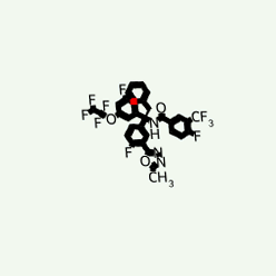 Cc1nnc(-c2cc([C@@](Cc3ccccc3)(NC(=O)c3ccc(F)c(C(F)(F)F)c3)c3cc(F)cc(OC(F)(F)C(F)F)c3)ccc2F)o1